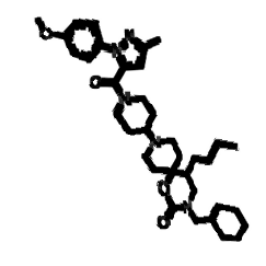 CCCCC1CN(CC2CCCCC2)C(=O)OC12CCN(C1CCN(C(=O)c3cc(C)nn3-c3ccc(OC)cc3)CC1)CC2